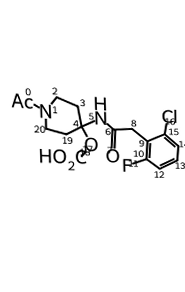 CC(=O)N1CCC(NC(=O)Cc2c(F)cccc2Cl)(OC(=O)O)CC1